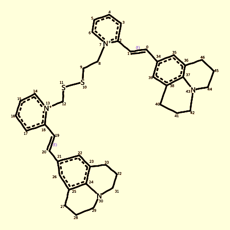 C(=C\c1cccc[n+]1CCSSC[n+]1ccccc1/C=C/c1cc2c3c(c1)CCCN3CCC2)/c1cc2c3c(c1)CCCN3CCC2